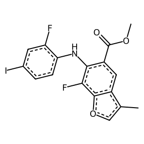 COC(=O)c1cc2c(C)coc2c(F)c1Nc1ccc(I)cc1F